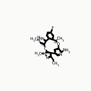 CCc1nn(C)c2c1-c1cnc(N)c(c1)O[C@H](C)c1cc(F)ccc1C(=N)/C(=C\NC)C2